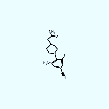 N#Cc1cc(N)c(N2CCN(CC(N)=O)CC2)c(F)c1